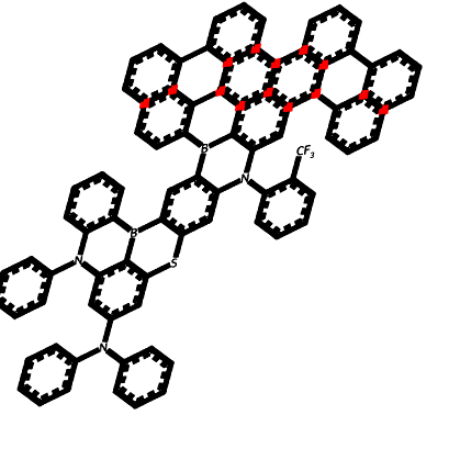 FC(F)(F)c1ccccc1N1c2cc3c(cc2B2c4ccccc4N(c4c(-c5ccccc5)cccc4-c4ccccc4)c4cc(N(c5ccccc5)c5c(-c6ccccc6)cccc5-c5ccccc5)cc1c42)B1c2ccccc2N(c2ccccc2)c2cc(N(c4ccccc4)c4ccccc4)cc(c21)S3